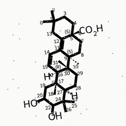 CC1(C)CC[C@]2(C(=O)O)CC[C@]3(C)C(=C2C1)C=C[C@@H]1[C@@]2(C)CC(O)C(O)C(C)(C)[C@@H]2CC[C@]13C